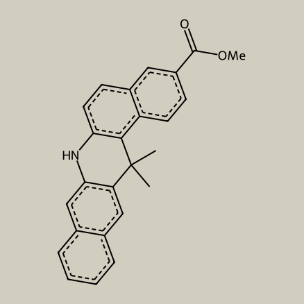 COC(=O)c1ccc2c3c(ccc2c1)Nc1cc2ccccc2cc1C3(C)C